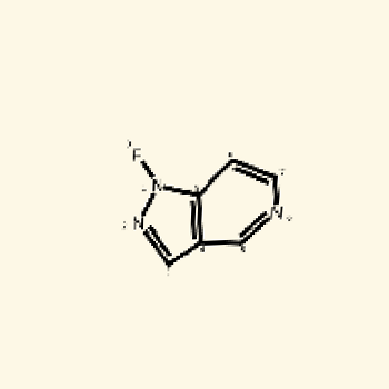 Fn1ncc2cnccc21